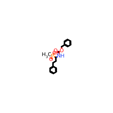 CP(=O)(O)C(CCc1ccccc1)NC(=O)OCc1ccccc1